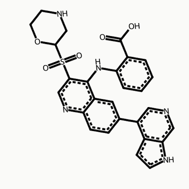 O=C(O)c1ccccc1Nc1c(S(=O)(=O)C2CNCCO2)cnc2ccc(-c3cncc4[nH]ccc34)cc12